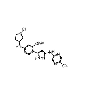 CCN1CC[C@H](Nc2ccc(-c3cc(Nc4cnc(C#N)cn4)n[nH]3)c(OC)c2)C1